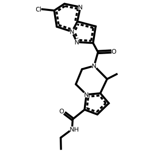 CCNC(=O)c1ccc2n1CCN(C(=O)c1cc3ncc(Cl)cn3n1)C2C